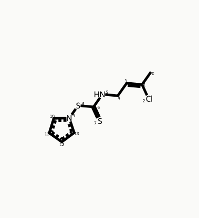 CC(Cl)=CCNC(=S)Sn1cccc1